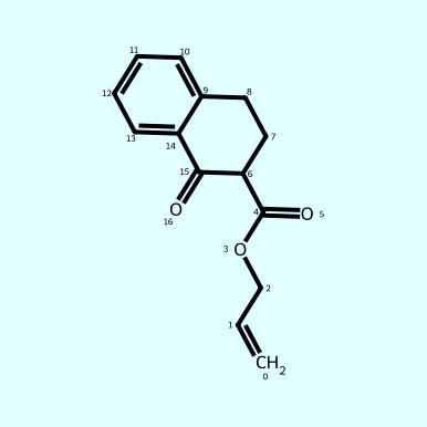 C=CCOC(=O)C1CCc2ccccc2C1=O